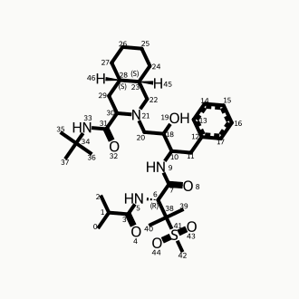 CC(C)C(=O)N[C@H](C(=O)NC(Cc1ccccc1)C(O)CN1C[C@H]2CCCC[C@H]2CC1C(=O)NC(C)(C)C)C(C)(C)S(C)(=O)=O